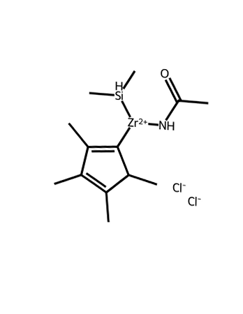 CC(=O)[NH][Zr+2]([C]1=C(C)C(C)=C(C)C1C)[SiH](C)C.[Cl-].[Cl-]